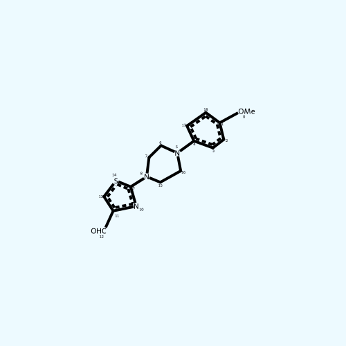 COc1ccc(N2CCN(c3nc(C=O)cs3)CC2)cc1